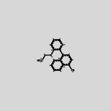 N#Cc1ccc(-c2ncccc2SCC(=O)O)c2ccccc12